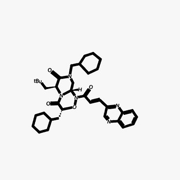 CC(C)(C)C[C@H]1C(=O)N(CC2CCCCC2)C[C@@H]2N(C(=O)/C=C/c3cnc4ccccc4n3)O[C@H](CC3CCCCC3)C(=O)N21